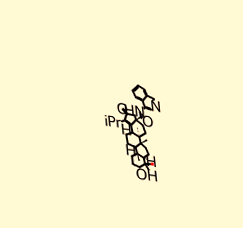 CC(C)C1=C2[C@H]3CC[C@@H]4[C@@]5(C)CC[C@H](O)C(C)(C)[C@@H]5CC[C@@]4(C)[C@]3(C)CC[C@@]2(C(=O)Nc2cncc3ccccc23)CC1=O